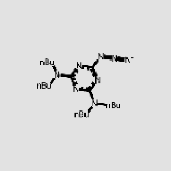 CCCCN(CCCC)c1nc(N=[N+]=[N-])nc(N(CCCC)CCCC)n1